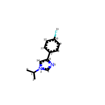 CC(C)n1cnc(-c2ccc(F)cc2)c1